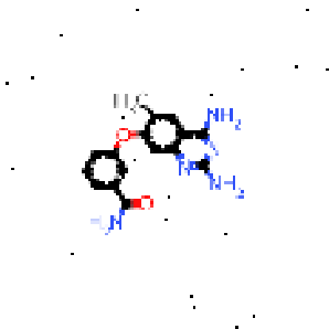 Cc1cc2c(N)nc(N)nc2cc1Oc1cccc(C(N)=O)c1